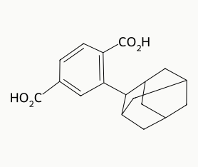 O=C(O)c1ccc(C(=O)O)c(C2C3CC4CC(C3)CC2C4)c1